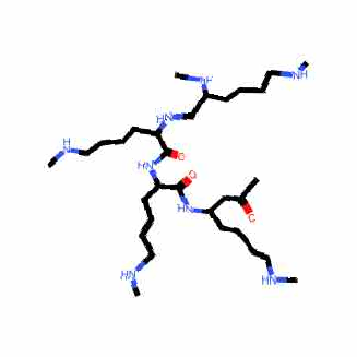 CNCCCCC(CNC(CCCCNC)C(=O)NC(CCCCNC)C(=O)NC(CCCCNC)CC(C)=O)NC